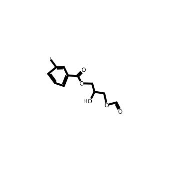 O=COCC(O)COC(=O)c1cccc(I)c1